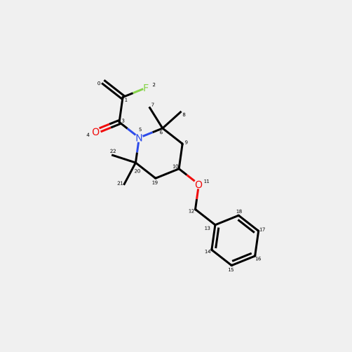 C=C(F)C(=O)N1C(C)(C)CC(OCc2ccccc2)CC1(C)C